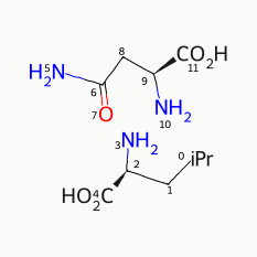 CC(C)C[C@H](N)C(=O)O.NC(=O)C[C@H](N)C(=O)O